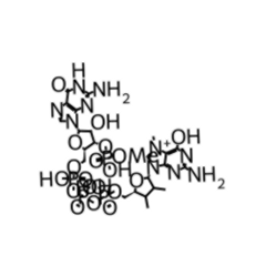 COP(=O)(O)O[C@@H]1C(O)[C@H](n2cnc3c(=O)[nH]c(N)nc32)O[C@@H]1COP(=O)(O)OP(=O)(O)OP(=O)(O)OC[C@H]1O[C@@H](n2c[n+](C)c3c(O)nc(N)nc32)C(C)C1C